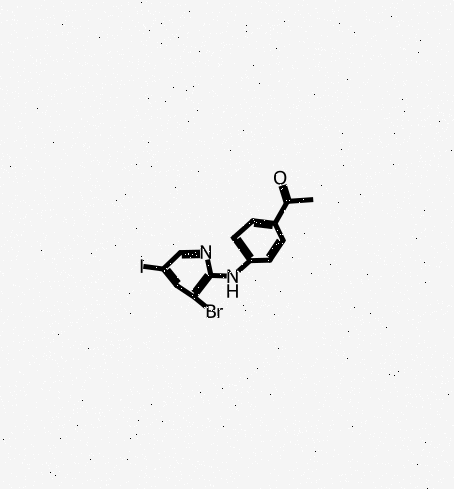 CC(=O)c1ccc(Nc2ncc(I)cc2Br)cc1